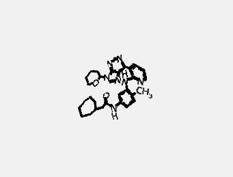 Cc1ccc(NC(=O)CC2CCCCCC2)cc1Nc1ncccc1-c1ncnc2c1ncn2C1CCCCO1